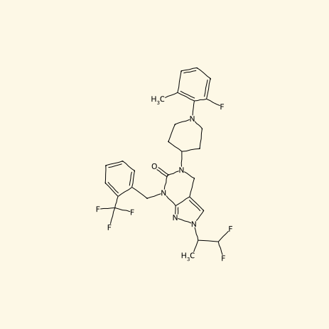 Cc1cccc(F)c1N1CCC(N2Cc3cn(C(C)C(F)F)nc3N(Cc3ccccc3C(F)(F)F)C2=O)CC1